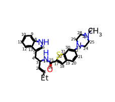 CCC=CC(Cc1c[nH]c2ccccc12)NC(=O)c1cc2ccc(N3CCN(C)CC3)cc2s1